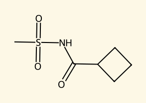 CS(=O)(=O)NC(=O)C1CCC1